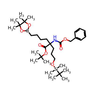 CC(C)(C)OC(=O)C(CCCCB1OC(C)(C)C(C)(C)O1)(CCCO[Si](C)(C)C(C)(C)C)NC(=O)OCc1ccccc1